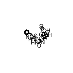 C[Si](C)(C)OC[C@H]1O[C@@H](n2cnc3c(=O)[nH]c(NC(=O)OCc4ccccc4[N+](=O)[O-])nc32)[C@@](O)([Si](C)(C)C)[C@@]1(O)[Si](C)(C)C